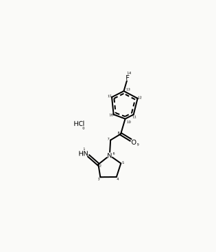 Cl.N=C1CCCN1CC(=O)c1ccc(F)cc1